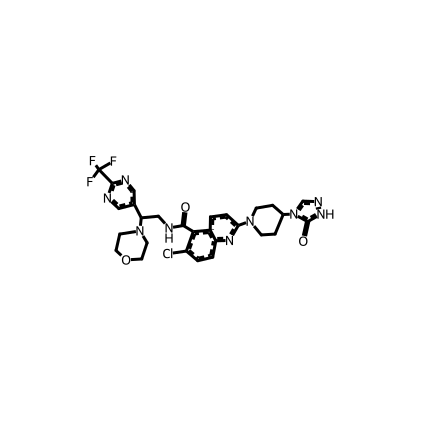 O=C(NCC(c1cnc(C(F)(F)F)nc1)N1CCOCC1)c1c(Cl)ccc2nc(N3CCC(n4cn[nH]c4=O)CC3)ccc12